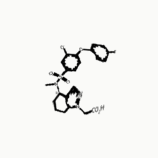 CN([C@@H]1CCCc2c1cnn2CC(=O)O)S(=O)(=O)c1ccc(Oc2ccc(F)cc2)c(Cl)c1